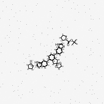 CC(C)(C)OC(=O)N1CCC[C@H]1c1nc2ccc(-c3ccc(-c4ccc5nc([C@@H]6CCCN6)[nH]c5c4)c4c3CC3(C4)OCCO3)cc2[nH]1